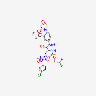 O=C(N[C@@H](CNC(=O)c1ccc(Cl)s1)C(=O)Nc1ccc(N2CCOCC2=O)c(C(F)(F)F)c1)OCC(F)F